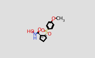 COc1ccc(S(=O)(=O)[C@@H]2CCC[C@H]2C(=O)NO)cc1